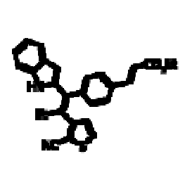 CCOC(=O)/C=C/c1ccc(/C(=C(/CC)c2ccsc2C#N)c2cc3ccccc3[nH]2)cc1